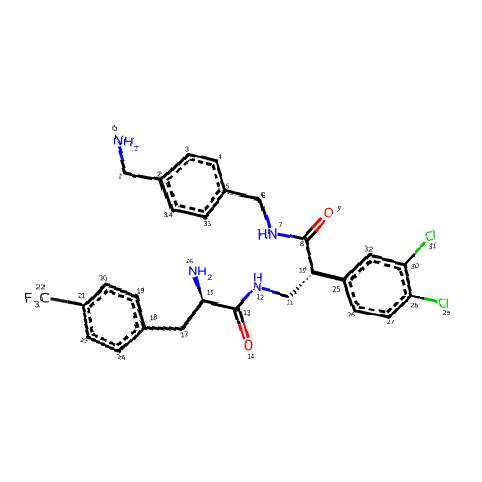 NCc1ccc(CNC(=O)[C@@H](CNC(=O)[C@H](N)Cc2ccc(C(F)(F)F)cc2)c2ccc(Cl)c(Cl)c2)cc1